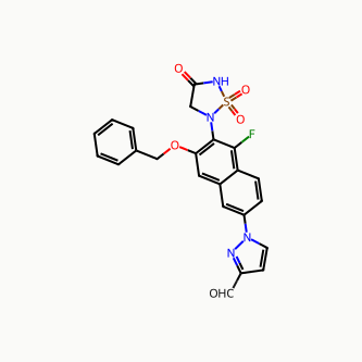 O=Cc1ccn(-c2ccc3c(F)c(N4CC(=O)NS4(=O)=O)c(OCc4ccccc4)cc3c2)n1